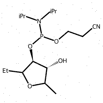 CCC1OC(C)[C@@H](O)[C@@H]1OP(OCCC#N)N(C(C)C)C(C)C